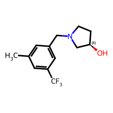 Cc1cc(CN2CC[C@@H](O)C2)cc(C(F)(F)F)c1